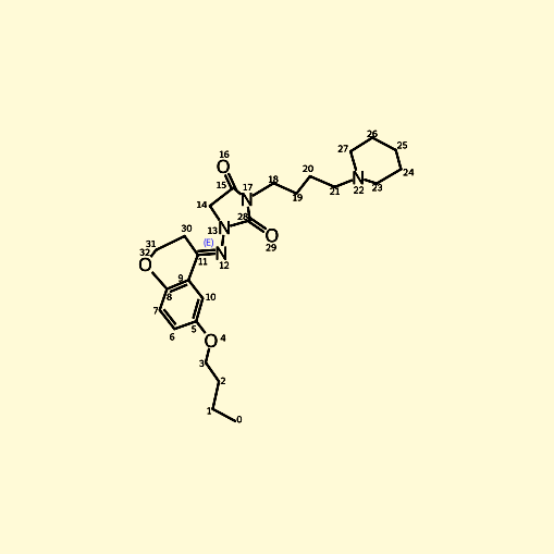 CCCCOc1ccc2c(c1)/C(=N/N1CC(=O)N(CCCCN3CCCCC3)C1=O)CCO2